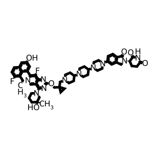 CCc1c(F)ccc2cc(O)cc(-c3ncc4c(N5CCC[C@@](C)(O)C5)nc(OCC5(CN6CCC(N7CCC(N8CCN(c9ccc%10c(c9)CN([C@H]9CCC(=O)NC9=O)C%10=O)CC8)CC7)CC6)CC5)nc4c3F)c12